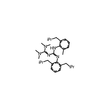 Cc1cccc(CC(C)C)c1N/C(N=C(N(C)C)N(C)C)=N/c1c(CC(C)C)cccc1CC(C)C